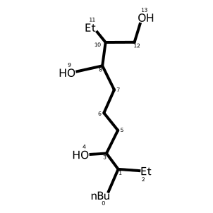 CCCCC(CC)C(O)CCCC(O)C(CC)CO